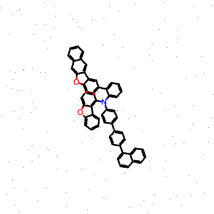 c1ccc(N(c2ccc(-c3ccc(-c4cccc5ccccc45)cc3)cc2)c2cccc3oc4ccccc4c23)c(-c2ccc3oc4cc5ccccc5cc4c3c2)c1